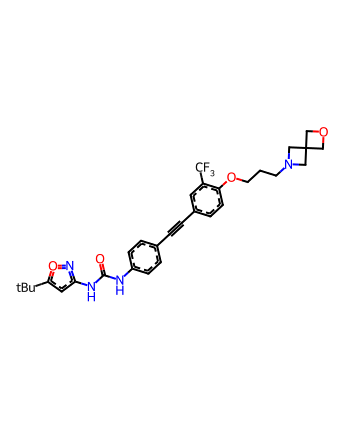 CC(C)(C)c1cc(NC(=O)Nc2ccc(C#Cc3ccc(OCCCN4CC5(COC5)C4)c(C(F)(F)F)c3)cc2)no1